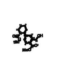 COC(=O)c1ccc(C2CCCCN2C(=O)OC(C)(C)C)cc1CO